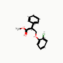 COC(=O)C(COc1ccccc1Cl)c1ccccc1